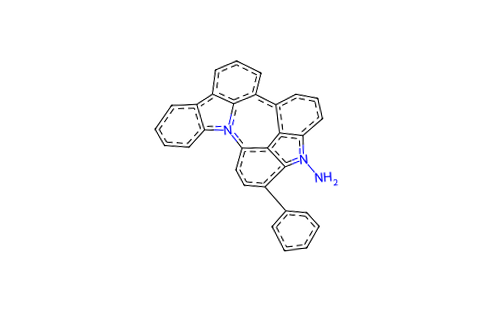 Nn1c2cccc3c4cccc5c6ccccc6n(c6ccc(-c7ccccc7)c1c6c32)c45